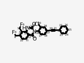 O=c1[nH]c2c(CF)c(CF)ccc2c(=O)n1-c1ccc(C#Cc2ccccc2)cc1Cl